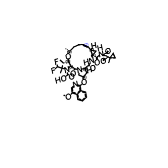 CC[C@@H]1O[C@H](C)CC/C=C\[C@@H]2C[C@@]2(C(=O)NS(=O)(=O)C2(C)CC2)NC(=O)[C@@H]2C[C@@H](Oc3ncc(OC)c4ccccc34)CN2C(=O)[C@H]1N(C(=O)O)C(C)(C)C(F)F